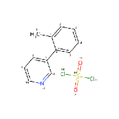 Cc1ccccc1-c1cccnc1.O=S(=O)(Cl)Cl